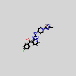 Cc1nsc(N2CCC(Nc3nc4c(C(O)c5ccc(F)cc5)cccn4n3)CC2)n1